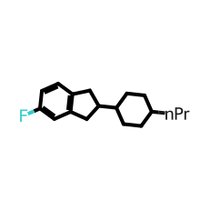 CCCC1CCC(C2Cc3ccc(F)cc3C2)CC1